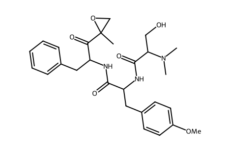 COc1ccc(CC(NC(=O)C(CO)N(C)C)C(=O)NC(Cc2ccccc2)C(=O)C2(C)CO2)cc1